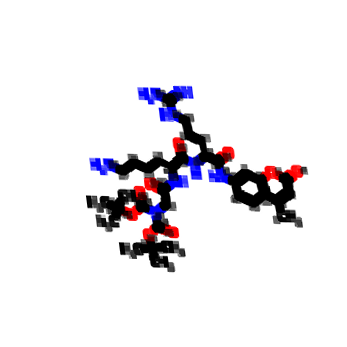 Cc1cc(=O)oc2cc(NC(=O)[C@H](CCCNC(=N)N)NC(=O)[C@H](CCCCN)NC(=O)CN(C(=O)OC(C)(C)C)C(=O)OC(C)(C)C)ccc12